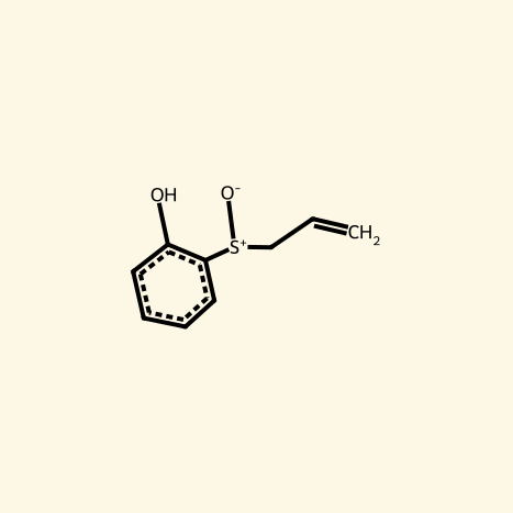 C=CC[S+]([O-])c1ccccc1O